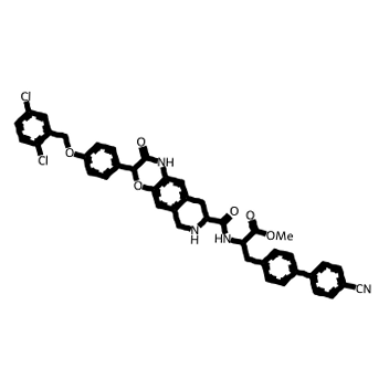 COC(=O)C(Cc1ccc(-c2ccc(C#N)cc2)cc1)NC(=O)C1Cc2cc3c(cc2CN1)OC(c1ccc(OCc2cc(Cl)ccc2Cl)cc1)C(=O)N3